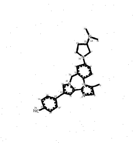 Cc1cnc2n1-c1ccc(N3CCC(N(C)C)C3)cc1Cn1cc(-c3ccc(C#N)cc3)cc1-2